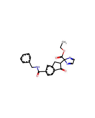 CCOC(=O)C1(C2Cc3cc(C(=O)NCc4ccccc4)ccc3C2=O)N=CC=N1